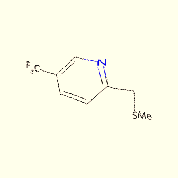 CSCc1ccc(C(F)(F)F)cn1